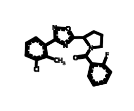 Cc1c(Cl)cccc1-c1noc(C2CCCN2C(=O)c2ccccc2F)n1